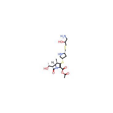 CC(=O)OC(=O)C1=C(S[C@@H]2CN[C@H](CSCC(O)CN)C2)[C@H](C)[C@@H]2[C@@H]([C@@H](C)O)C(=O)N12